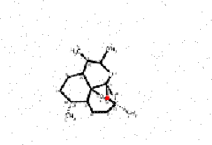 C[C@H]1C(N)O[C@@H]2O[C@]3(C)CCC4[C@H](C)CCC1C42OO3